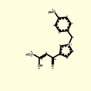 COc1ccc(Cn2ccc(C(=O)/C=C(\O)C(=O)O)c2)cc1